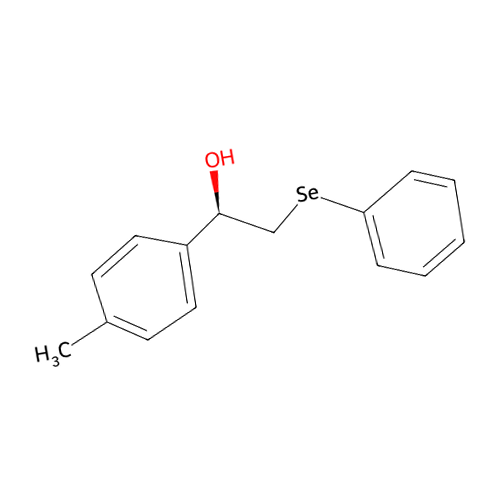 Cc1ccc([C@@H](O)C[Se]c2ccccc2)cc1